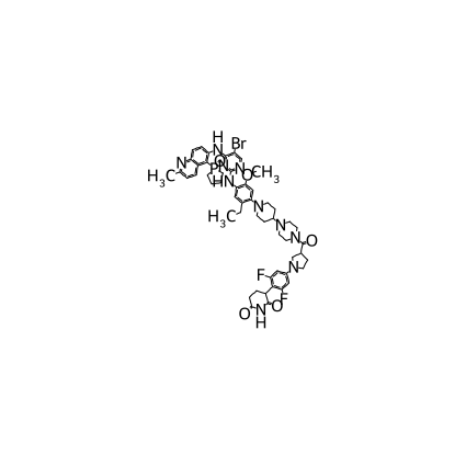 CCc1cc(Nc2ncc(Br)c(Nc3ccc4nc(C)ccc4c3P3(=O)CCCC3)n2)c(OC)cc1N1CCC(N2CCN(C(=O)C3CCN(c4cc(F)c(C5CCC(=O)NC5=O)c(F)c4)C3)CC2)CC1